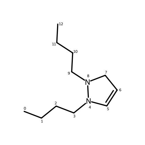 CCCCN1C=CCN1CCCC